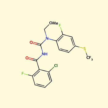 COCN(C(=O)NC(=O)c1c(F)cccc1Cl)c1ccc(SC(F)(F)F)cc1F